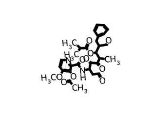 COc1ccnc(C(=O)NC(CC=O)C(=O)C(=O)C(C)C(OC(=O)C(C)C)C(C=O)Cc2ccccc2)c1OC(C)=O